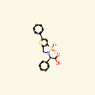 O=C(O)C(c1ccccc1)N1Cc2sc(-c3ccccc3)cc2S1(=O)=O